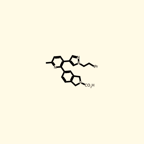 Cc1ccc(-c2cnn(CCC(C)C)c2)c(-c2ccc3c(c2)CN(C(=O)O)C3)n1